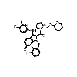 Cc1nc(Nc2c(C(=O)N3CCC[C@@H]3COC3CCCCO3)sc3c2ccc(=O)n3-c2c(F)cccc2F)ccc1F